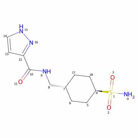 NS(=O)(=O)[C@H]1CC[C@H](CNC(=O)c2cc[nH]n2)CC1